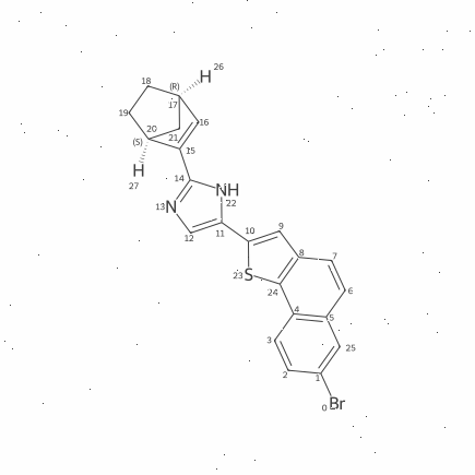 Brc1ccc2c(ccc3cc(-c4cnc(C5=C[C@@H]6CC[C@H]5C6)[nH]4)sc32)c1